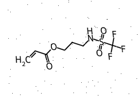 C=CC(=O)OCCCNS(=O)(=O)C(F)(F)F